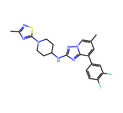 Cc1cc(-c2ccc(F)c(F)c2)c2nc(NC3CCN(c4nc(C)ns4)CC3)nn2c1